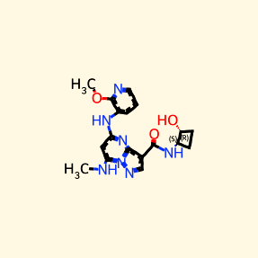 CNc1cc(Nc2cccnc2OC)nc2c(C(=O)N[C@H]3CC[C@H]3O)cnn12